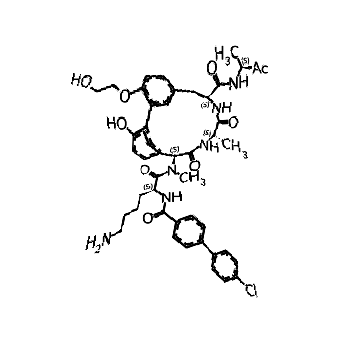 CC(=O)[C@H](C)NC(=O)[C@@H]1Cc2ccc(OCCO)c(c2)-c2cc(ccc2O)[C@H](N(C)C(=O)[C@H](CCCCN)NC(=O)c2ccc(-c3ccc(Cl)cc3)cc2)C(=O)N[C@@H](C)C(=O)N1